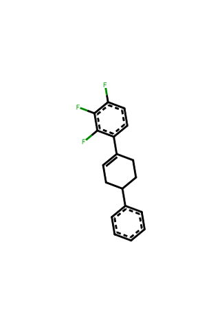 Fc1ccc(C2=CCC(c3ccccc3)CC2)c(F)c1F